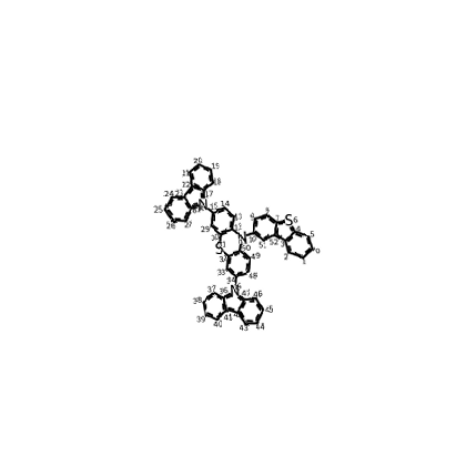 c1ccc2c(c1)sc1ccc(N3c4ccc(-n5c6ccccc6c6ccccc65)cc4Sc4cc(-n5c6ccccc6c6ccccc65)ccc43)cc12